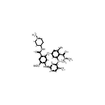 COc1cc(C(=O)NC2CCN(C)CC2)c(Cl)cc1Nc1ncc(C(F)(F)F)c(Oc2cccc(C(C)C)c2C(=O)N(C)C)n1